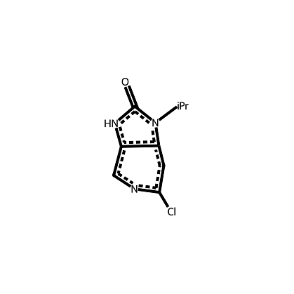 CC(C)n1c(=O)[nH]c2cnc(Cl)cc21